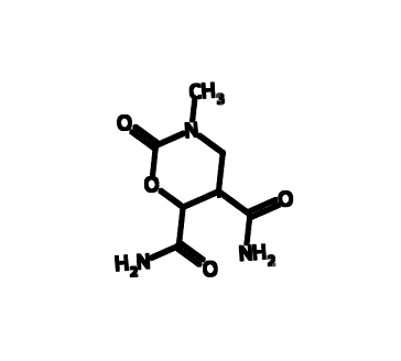 CN1C[C](C(N)=O)C(C(N)=O)OC1=O